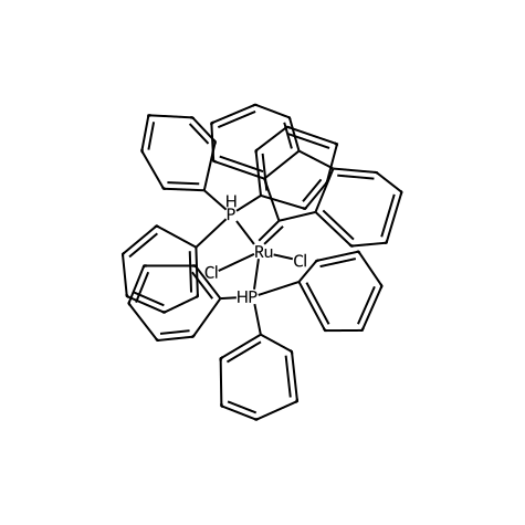 [Cl][Ru]([Cl])(=[C]1c2ccccc2-c2ccccc21)([PH](c1ccccc1)(c1ccccc1)c1ccccc1)[PH](c1ccccc1)(c1ccccc1)c1ccccc1